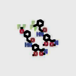 COc1cc(NC(=O)Cc2cccc(OC(F)F)c2)ccc1-c1cnco1.COc1cc(NC(=O)Cc2ccccc2C(F)(F)F)ccc1-c1cnco1